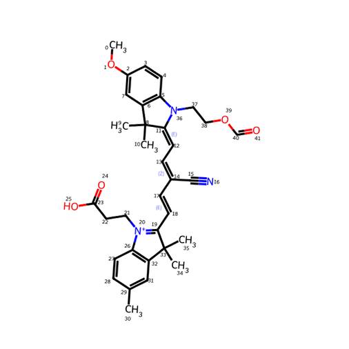 COc1ccc2c(c1)C(C)(C)\C(=C/C=C(C#N)/C=C/C1=[N+](CCC(=O)O)c3ccc(C)cc3C1(C)C)N2CCOC=O